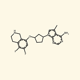 Cc1cn(C2CCC(Oc3cc(F)c(F)c4c3CNCC4)C2)c2ncnc(N)c12